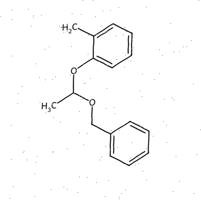 [CH2]c1ccccc1OC(C)OCc1ccccc1